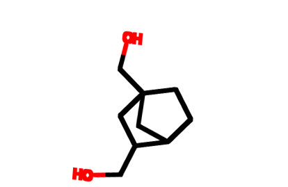 OCC1CC2(CO)CCC1C2